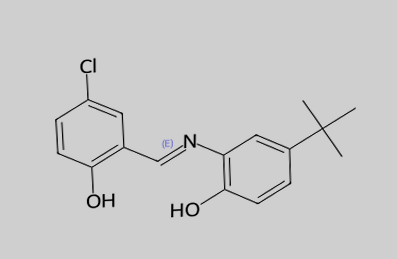 CC(C)(C)c1ccc(O)c(/N=C/c2cc(Cl)ccc2O)c1